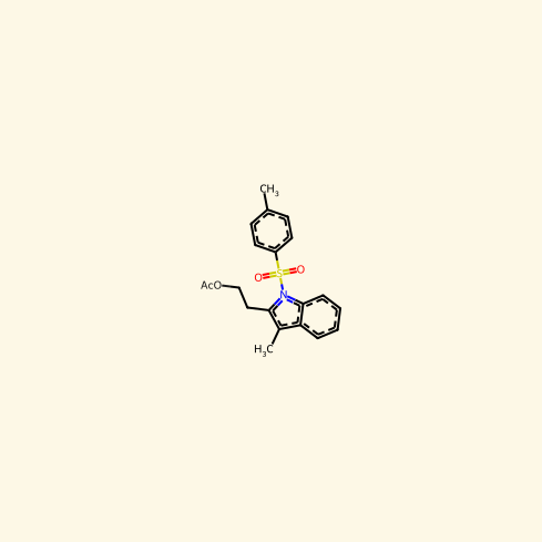 CC(=O)OCCc1c(C)c2ccccc2n1S(=O)(=O)c1ccc(C)cc1